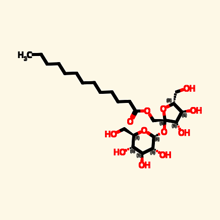 CCCCCCCCCCCCC(=O)OC[C@@]1(O[C@H]2O[C@H](CO)[C@@H](O)[C@H](O)[C@H]2O)O[C@H](CO)[C@@H](O)[C@@H]1O